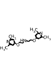 Cc1cc(OCCNCCOc2cc(C)nc(C)c2)cc(C)n1